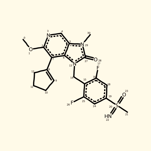 COc1ncc2c(c1C1=CCCC1)n(Cc1c(F)cc(S(C)(=N)=O)cc1F)c(=O)n2C